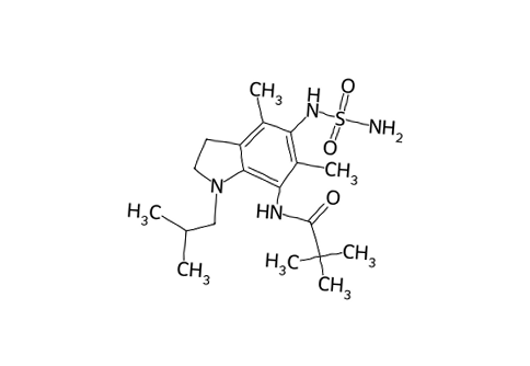 Cc1c2c(c(NC(=O)C(C)(C)C)c(C)c1NS(N)(=O)=O)N(CC(C)C)CC2